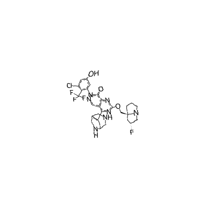 O=c1c2nc(OC[C@@]34CCCN3C[C@H](F)C4)nc(C3=C4CNCC(C3)NC4)c2cnn1-c1cc(O)cc(Cl)c1C(F)(F)F